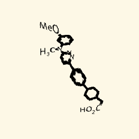 COc1cccc(N(C)c2ccc(-c3ccc(C4CCC(CC(=O)O)CC4)cc3)nn2)c1